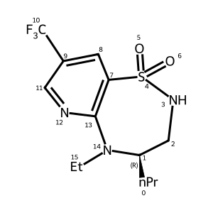 CCC[C@@H]1CNS(=O)(=O)c2cc(C(F)(F)F)cnc2N1CC